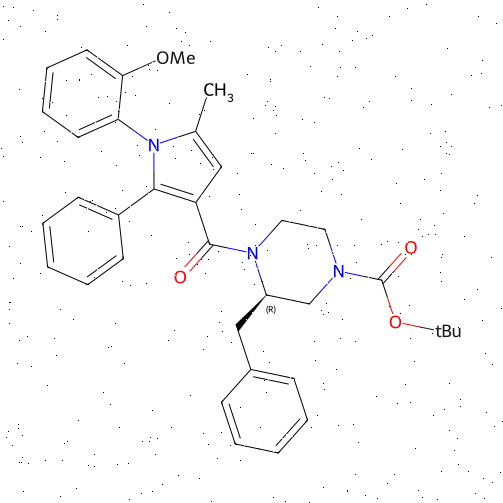 COc1ccccc1-n1c(C)cc(C(=O)N2CCN(C(=O)OC(C)(C)C)C[C@H]2Cc2ccccc2)c1-c1ccccc1